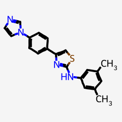 Cc1cc(C)cc(Nc2nc(-c3ccc(-n4ccnc4)cc3)cs2)c1